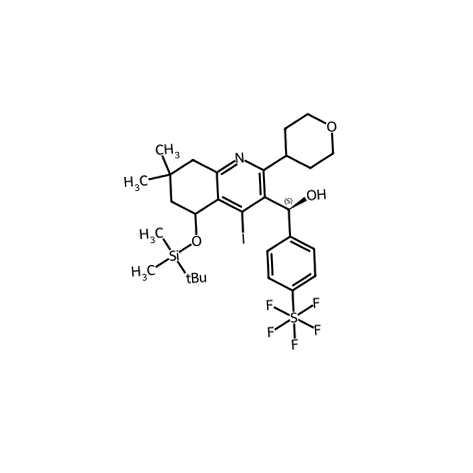 CC1(C)Cc2nc(C3CCOCC3)c([C@@H](O)c3ccc(S(F)(F)(F)(F)F)cc3)c(I)c2C(O[Si](C)(C)C(C)(C)C)C1